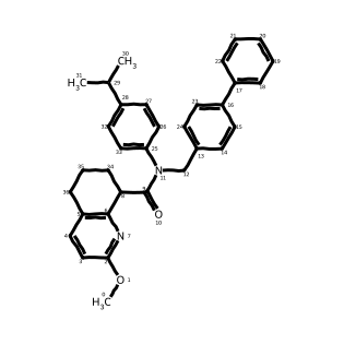 COc1ccc2c(n1)C(C(=O)N(Cc1ccc(-c3ccccc3)cc1)c1ccc(C(C)C)cc1)CCC2